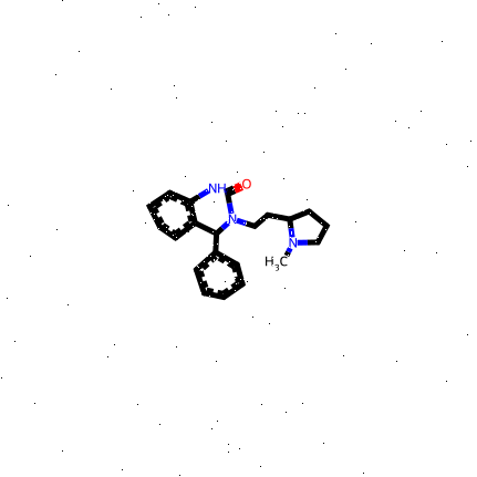 CN1CCCC1CCN1C(=O)Nc2ccccc2C1c1ccccc1